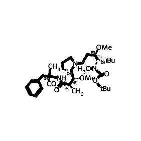 CCOC(=O)[C@](C)(Cc1ccccc1)NC(=O)[C@H](C)[C@@H](OC)[C@@H]1CCCN1CC[C@@H](OC)[C@H]([C@@H](C)CC)N(C)C(=O)OC(C)(C)C